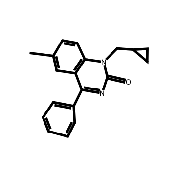 Cc1ccc2c(c1)c(-c1ccccc1)nc(=O)n2CC1CC1